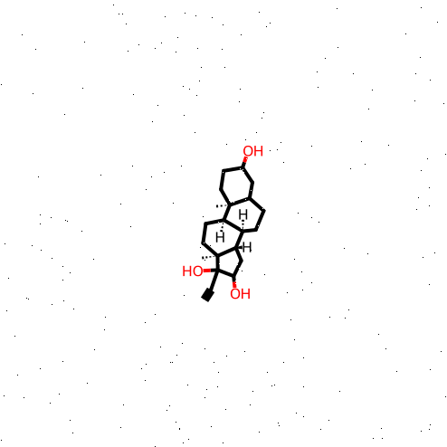 C#CC1(O)C(O)C[C@H]2[C@@H]3CCC4CC(O)CC[C@]4(C)[C@@H]3CC[C@@]21C